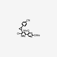 COc1ncc(-c2cc(C3CC3c3ccc(C#N)cc3)c(Cl)nn2)c(OC)n1